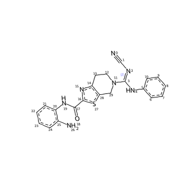 N#C/N=C(/Nc1ccccc1)N1CCc2nc(C(=O)Nc3ccccc3N)sc2C1